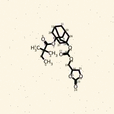 CCC(C)(C)C(=O)OC12CC3CC(CC(OC(=O)OCC4COC(=O)O4)(C3)C1)C2